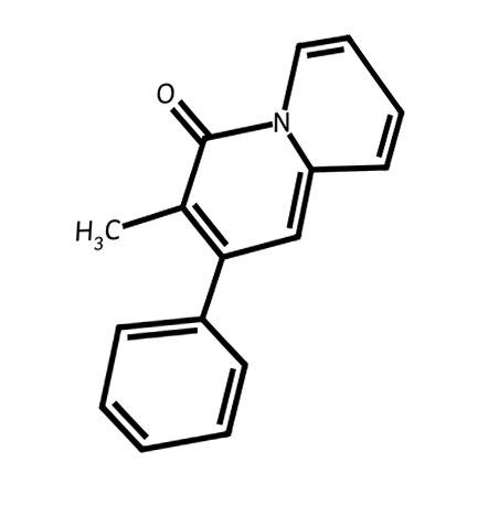 Cc1c(-c2ccccc2)cc2ccccn2c1=O